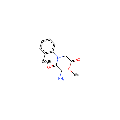 CCOC(=O)c1ccccc1N(CC(=O)OC(C)(C)C)C(=O)CN